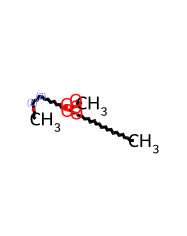 CCCCC/C=C\C/C=C\CCCCCCCC(=O)OC(COCCCCCCCCCCCCCCCCCCCC)COC(C)=O